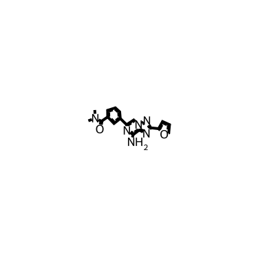 CN(C)C(=O)c1cccc(-c2cn3nc(-c4ccco4)nc3c(N)n2)c1